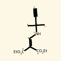 C#CC(C)(C)NC=C(C(=O)OCC)C(=O)OCC